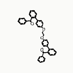 O=C(c1ccccc1)c1ccccc1-c1ccc(OCCOc2ccc(-c3ccccc3C(=O)c3ccccc3)cc2)cc1